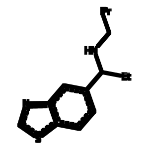 CCC(NCC(C)C)c1ccc2scnc2c1